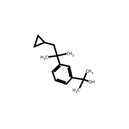 CC(C)(O)c1cccc(C(C)(C)CC2CC2)c1